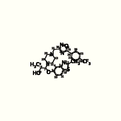 Cc1nc2cc(OC([C@@H](C)O)N3CCN(Cc4noc(-c5ccc(C(F)(F)F)cc5)n4)CC3)ccc2s1